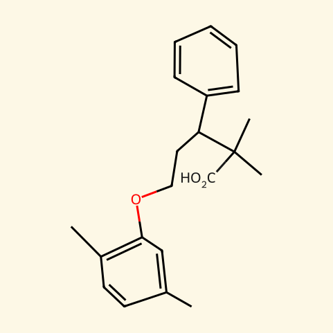 Cc1ccc(C)c(OCCC(c2ccccc2)C(C)(C)C(=O)O)c1